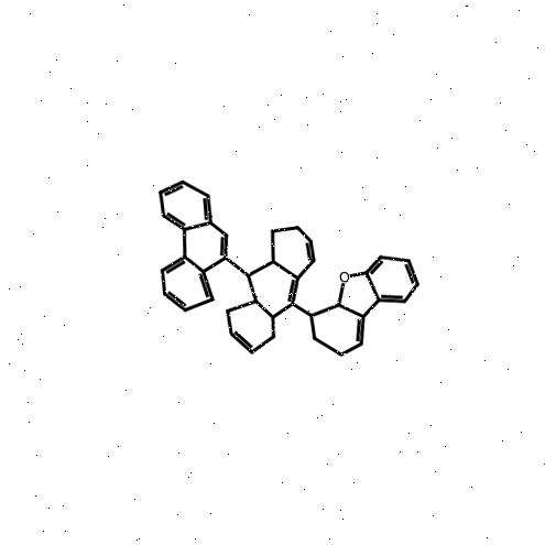 C1=CC2=C(C3CCC=C4c5ccccc5OC43)C3CC=CCC3C(c3cc4ccccc4c4ccccc34)C2CC1